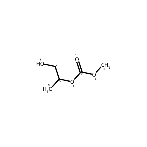 COC(=O)OC(C)CO